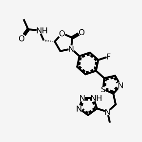 CC(=O)NC[C@H]1CN(c2ccc(-c3cnc(CN(C)c4cnn[nH]4)s3)c(F)c2)C(=O)O1